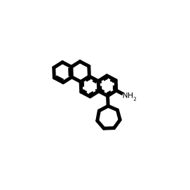 Nc1ccc2c3c(ccc2c1C1CCCCCC1)C1=C(CCC=C1)CC3